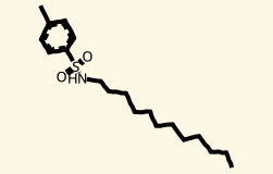 CCCCCCCCCCCCNS(=O)(=O)c1ccc(C)cc1